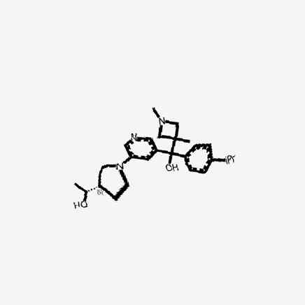 CC(C)c1ccc(C(O)(c2cncc(N3CC[C@H](C(C)O)C3)c2)C2(C)CN(C)C2)cc1